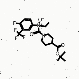 CC[N+]([O-])(C(=O)N1CCC(C(=O)OC(C)(C)C)CC1)c1ccc(F)c(C(F)(F)F)c1